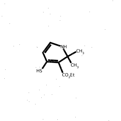 CCOC(=O)C1=C(S)C=CNC1(C)C